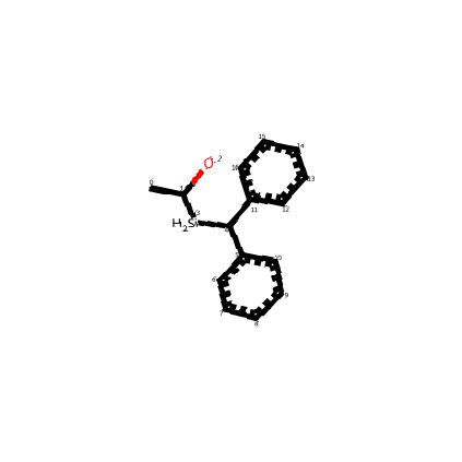 CC([O])[SiH2]C(c1ccccc1)c1ccccc1